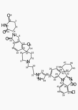 O=C1CC[C@H](N2Cc3c(ccc4c3OCC43CCN(CCCn4cc(-c5ccc6c(c5)-n5c(nc(=O)c7c(Cl)cccc75)C65CCCCC5)cn4)CC3)C2=O)C(=O)N1